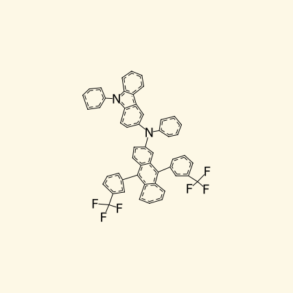 FC(F)(F)c1cccc(-c2c3ccccc3c(-c3cccc(C(F)(F)F)c3)c3cc(N(c4ccccc4)c4ccc5c(c4)c4ccccc4n5-c4ccccc4)ccc23)c1